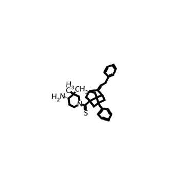 CC1(C)CN(C(=S)C23CC4CC25C(CC5(c2ccccc2)C3)/C4=C\Cc2ccccc2)CC[C@@H]1N